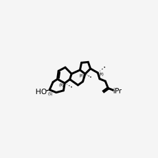 C=C(CC[C@@H](C)C1CCC2C3CC=C4C[C@@H](O)CC[C@]4(C)C3CC[C@@]21C)C(C)C